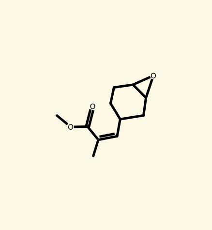 COC(=O)C(C)=CC1CCC2OC2C1